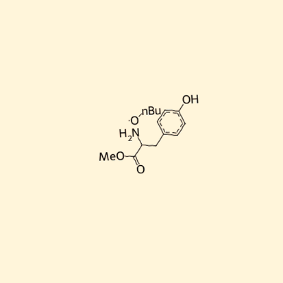 CCCC[O].COC(=O)C(N)Cc1ccc(O)cc1